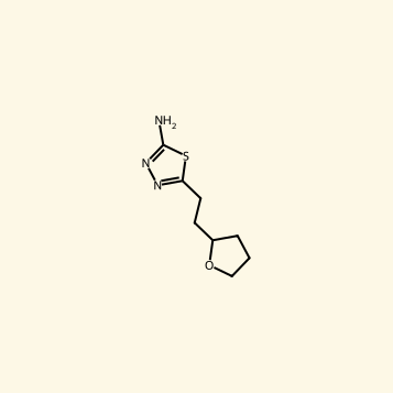 Nc1nnc(CCC2CCCO2)s1